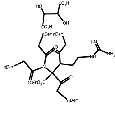 CCCCCCCCCCCC(=O)C(CCNC(=N)N)[C@@](C(=O)CCCCCCCCCCC)(C(=O)OCC)N(C(=O)CCCCCCCCCCC)C(=O)CCCCCCCCCCC.O=C(O)C(O)C(O)C(=O)O